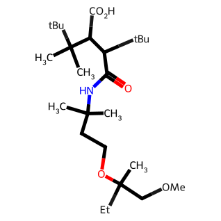 CCC(C)(COC)OCCC(C)(C)NC(=O)C(C(C(=O)O)C(C)(C)C(C)(C)C)C(C)(C)C